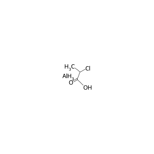 CC(Cl)C(=O)O.[AlH3]